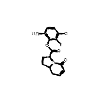 Nc1ccc(Cl)c(F)c1OC(=O)C1CCC2CC=CC(=O)N21